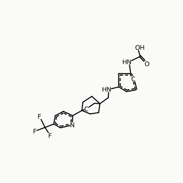 O=C(O)Nc1cccc(NCC23CCC(c4ccc(C(F)(F)F)cn4)(CC2)CC3)c1